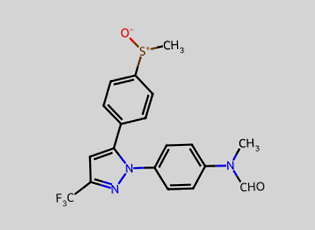 CN(C=O)c1ccc(-n2nc(C(F)(F)F)cc2-c2ccc([S+](C)[O-])cc2)cc1